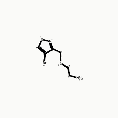 NCCSCc1nscc1Br